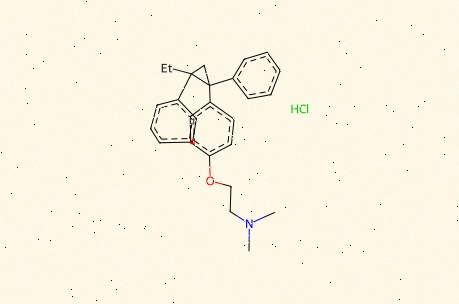 CCC1(c2ccccc2)CC1(c1ccccc1)c1ccc(OCCN(C)C)cc1.Cl